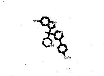 COc1ccc(-c2cncc(C(C)(c3c[nH]c4ccc(C#N)cc34)C3CCCNC3)c2)cc1